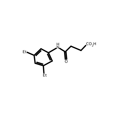 CCc1cc(CC)cc(NC(=O)CCC(=O)O)c1